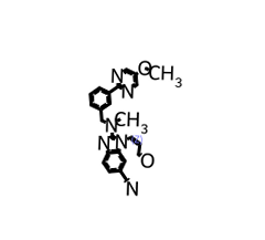 COc1cnc(-c2cccc(CN(C)c3nc4ccc(C#N)cc4n3/C=C\C=O)c2)nc1